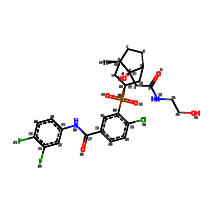 O=C(C[C@@]1(O)C2CC[C@H]1C[C@H](S(=O)(=O)c1cc(C(=O)Nc3ccc(F)c(F)c3)ccc1Cl)C2)NCCO